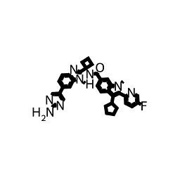 Cn1c(C2(NC(=O)c3ccc4c(C5CCCC5)c(-c5ccc(F)cn5)n(C)c4c3)CCC2)nc2ccc(-c3cnc(N)nc3)cc21